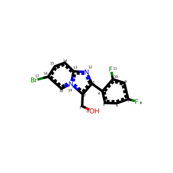 OCc1c(-c2ccc(F)cc2F)nc2ccc(Br)cn12